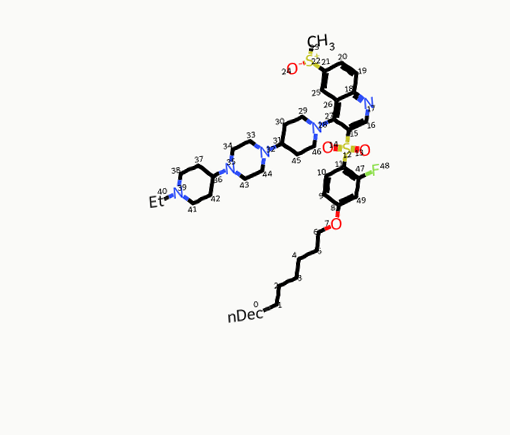 CCCCCCCCCCCCCCCCOc1ccc(S(=O)(=O)c2cnc3ccc([S+](C)[O-])cc3c2N2CCC(N3CCN(C4CCN(CC)CC4)CC3)CC2)c(F)c1